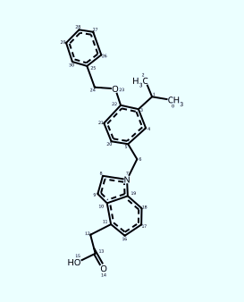 CC(C)c1cc(Cn2ccc3c(CC(=O)O)cccc32)ccc1OCc1ccccc1